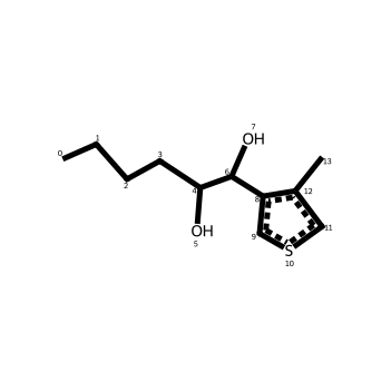 CCCCC(O)C(O)c1cscc1C